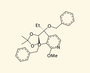 CC[C@](OCc1ccccc1)(c1ccnc(OC)c1OCc1ccccc1)[C@H]1COC(C)(C)O1